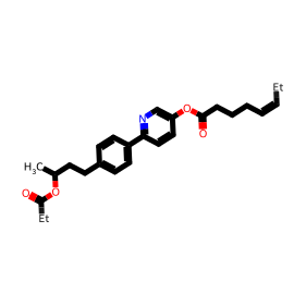 CC/C=C\CCCC(=O)Oc1ccc(-c2ccc(CCC(C)OC(=O)CC)cc2)nc1